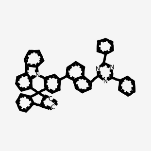 c1ccc(-c2nc(-c3ccccc3)nc(-c3cccc4c(-c5ccc6c(c5)-n5c7ccccc7c7cccc(c75)C65c6ccccc6-c6ccccc65)cccc34)n2)cc1